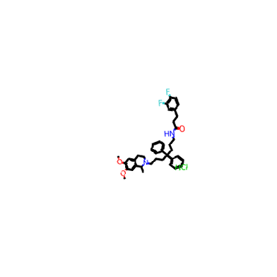 COc1cc2c(cc1OC)C(C)N(CCCC(CCCNC(=O)CCc1ccc(F)c(F)c1)(c1ccccc1)c1ccccc1)CC2.Cl